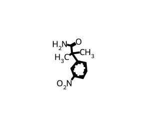 CC(C)(C(N)=O)c1cccc([N+](=O)[O-])c1